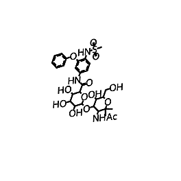 CC(=O)NC1C(OC2OC(C(=O)Nc3ccc(NS(C)(=O)=O)c(Oc4ccccc4)c3)C(O)C(O)C2O)C(O)C(CO)OC1(C)C